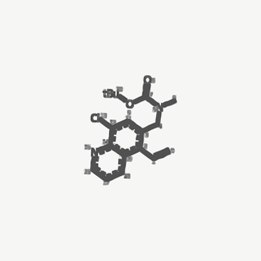 C=Cc1c(CN(C)C(=O)OC(C)(C)C)cc(Cl)c2ncccc12